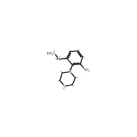 CCOC(=O)Nc1cccc([N+](=O)[O-])c1N1CCOCC1